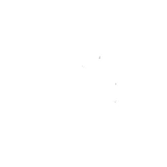 CC(O)c1c(C2CCCNC2)cc(-c2ccccc2O)nc1N